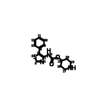 O=C(Nc1ncsc1-c1ccccc1)OC1CCNCC1